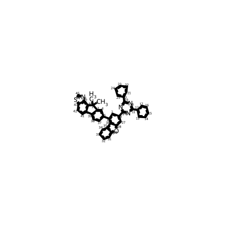 CC1(C)c2cc(-c3cc(-c4nc(-c5ccccc5)nc(-c5ccccc5)n4)cc4oc5ccccc5c34)ccc2-c2ccc3scnc3c21